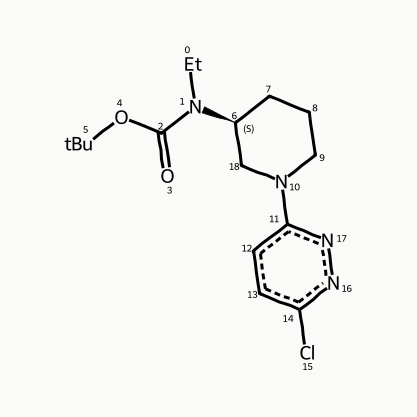 CCN(C(=O)OC(C)(C)C)[C@H]1CCCN(c2ccc(Cl)nn2)C1